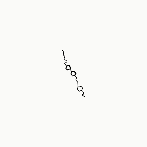 CC=C[C@H]1CC[C@H](CCCCc2ccc(-c3ccc(COCCCCC)cc3)cc2)CC1